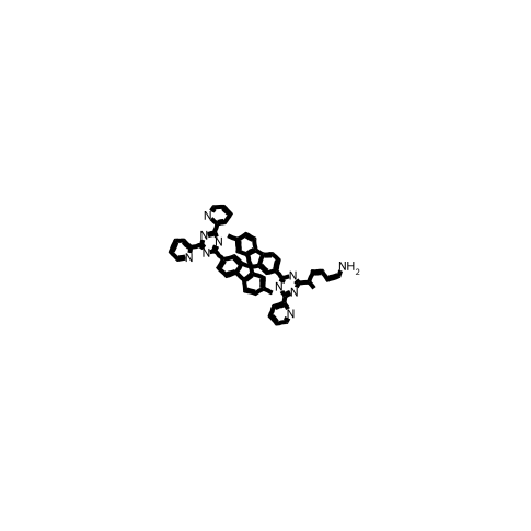 Cc1ccc2c(c1)C1(c3cc(C)ccc3-c3ccc(-c4nc(-c5ccccn5)nc(C(C)/C=C\C=C/N)n4)cc31)c1cc(-c3nc(-c4ccccn4)nc(-c4ccccn4)n3)ccc1-2